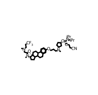 CC(C)N(C(C)C)P(OCCC#N)O[C@@H]1CC[C@@H](N(C)CCCOc2ccc3c(c2)CCC2C3CC[C@@]3(C)C2CC[C@@H]3N(C)C(=O)CN(C)CCC(F)(F)F)C1